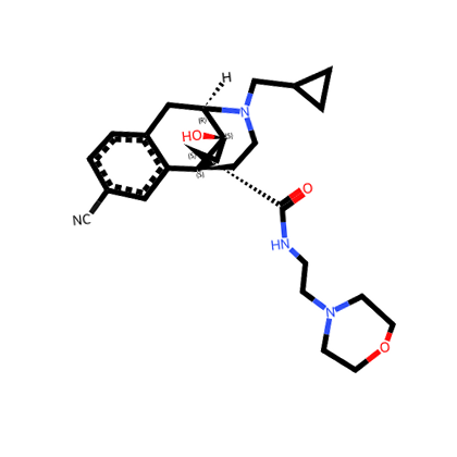 N#Cc1ccc2c(c1)[C@]13CCN(CC4CC4)[C@H](C2)[C@]1(O)C[C@@H](C(=O)NCCN1CCOCC1)C3